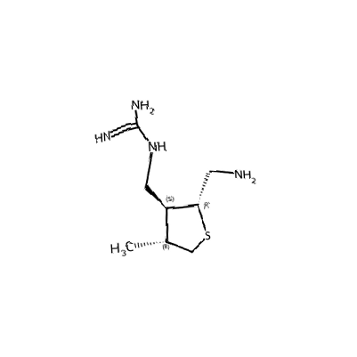 C[C@H]1CS[C@@H](CN)[C@@H]1CNC(=N)N